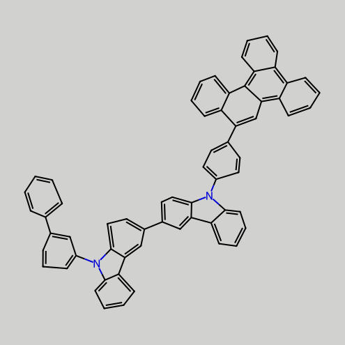 c1ccc(-c2cccc(-n3c4ccccc4c4cc(-c5ccc6c(c5)c5ccccc5n6-c5ccc(-c6cc7c8ccccc8c8ccccc8c7c7ccccc67)cc5)ccc43)c2)cc1